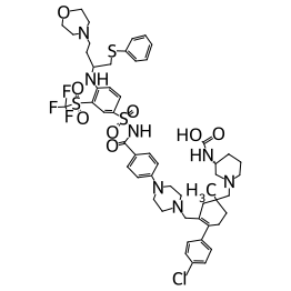 CC1(CN2CCC[C@H](NC(=O)O)C2)CCC(c2ccc(Cl)cc2)=C(CN2CCN(c3ccc(C(=O)NS(=O)(=O)c4ccc(NC(CCN5CCOCC5)CSc5ccccc5)c(S(=O)(=O)C(F)(F)F)c4)cc3)CC2)C1